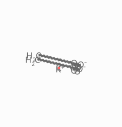 C=CCCCCC=CCCCCC=CCCCCC=CCOC(=O)CC(=O)[O-].C=CCCCCC=CCCCCC=CCCCCC=CCOC(=O)CC(=O)[O-].[K+].[K+]